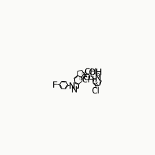 C[C@]12Cc3cnn(-c4ccc(F)cc4)c3C=C1CC[C@]2(C)OC(O)c1cc(Cl)ccn1